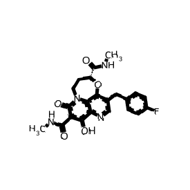 CNC(=O)c1c(O)c2ncc(Cc3ccc(F)cc3)c3c2n(c1=O)CC[C@H](C(=O)NC)O3